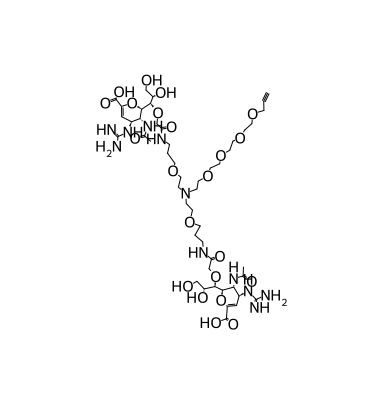 C#CCOCCOCCOCCOCCN(CCOCCCNC(=O)CO[C@@H]([C@@H]1OC(C(=O)O)=C[C@H](NC(=N)N)[C@H]1NC(C)=O)[C@H](O)CO)CCOCCCNC(=O)CO[C@@H]([C@@H]1OC(C(=O)O)=C[C@H](NC(=N)N)[C@H]1NC(C)=O)[C@H](O)CO